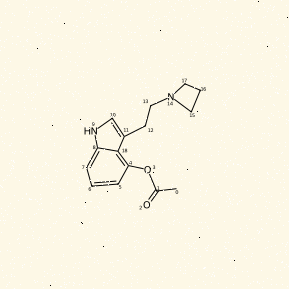 CC(=O)Oc1cccc2[nH]cc(CCN3CCC3)c12